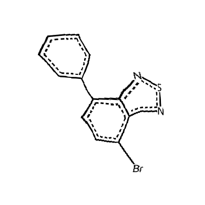 Brc1ccc(-c2ccccc2)c2nsnc12